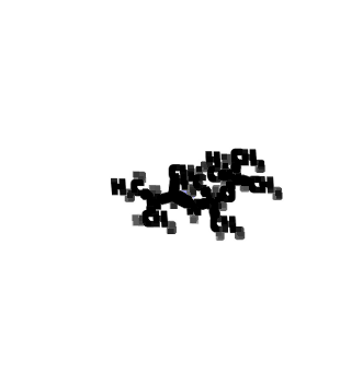 C/C(=N\[Si](C)(C)O[Si](C)(C)C)N(C)C